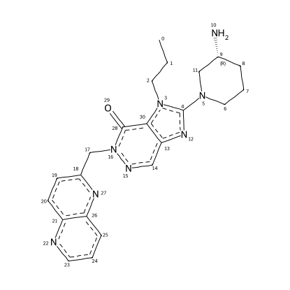 CCCn1c(N2CCC[C@@H](N)C2)nc2cnn(Cc3ccc4ncccc4n3)c(=O)c21